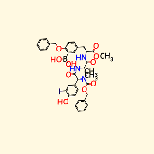 COC(=O)[C@H](Cc1ccc(OCc2ccccc2)c(B(O)O)c1)NC(=O)[C@H](C)NC(=O)[C@H](c1ccc(O)c(I)c1)N(C)C(=O)OCc1ccccc1